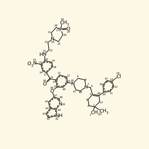 CC1(C)CCC(CN2CCN(c3ccc(C(=O)c4ccc(NCCN5CCP(C)(=O)CC5)c([N+](=O)[O-])c4)c(Oc4cnc5[nH]ccc5c4)c3)CC2)=C(c2ccc(Cl)cc2)C1